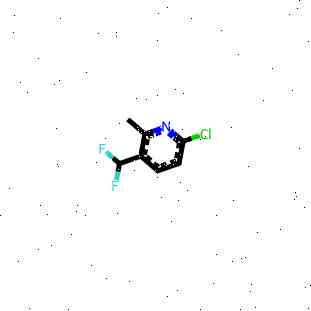 Cc1nc(Cl)ccc1C(F)F